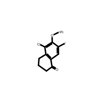 CCCOc1c(I)cc2c(c1Cl)CCCC2=O